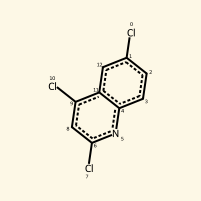 Clc1ccc2nc(Cl)cc(Cl)c2c1